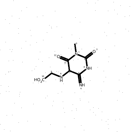 CN1C(=O)NC(=N)C(NCC(=O)O)C1=O